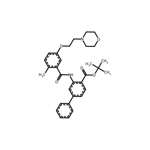 Cc1ccc(OCCN2CCOCC2)cc1C(=O)Nc1cc(-c2ccccc2)ccc1C(=O)OC(C)(C)C